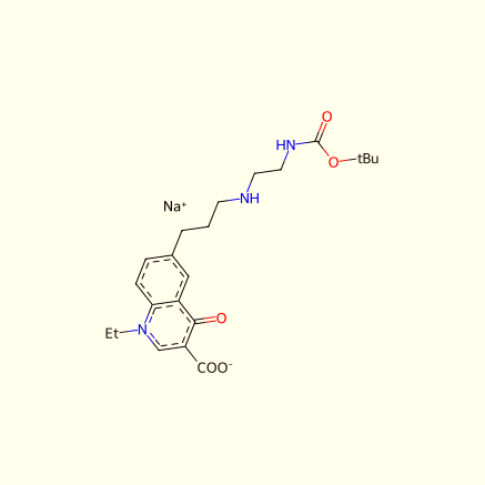 CCn1cc(C(=O)[O-])c(=O)c2cc(CCCNCCNC(=O)OC(C)(C)C)ccc21.[Na+]